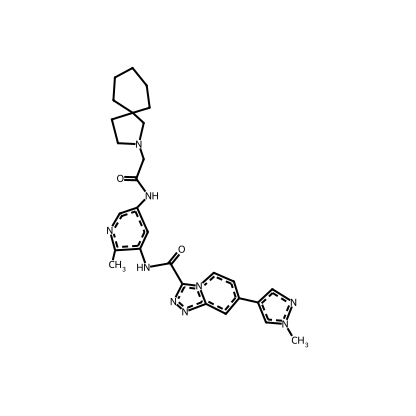 Cc1ncc(NC(=O)CN2CCC3(CCCCC3)C2)cc1NC(=O)c1nnc2cc(-c3cnn(C)c3)ccn12